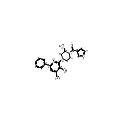 CC(C)c1cc(-c2ccccc2)nc(N2CCN(C(=O)c3ccoc3)C(C)C2)c1C#N